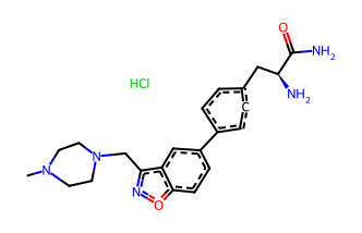 CN1CCN(Cc2noc3ccc(-c4ccc(C[C@H](N)C(N)=O)cc4)cc23)CC1.Cl